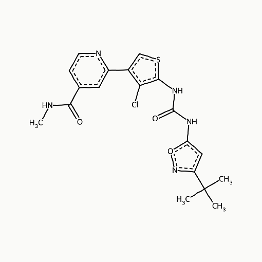 CNC(=O)c1ccnc(-c2csc(NC(=O)Nc3cc(C(C)(C)C)no3)c2Cl)c1